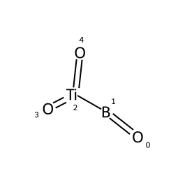 O=[B][Ti](=[O])=[O]